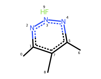 Cc1nnnc(C)c1C.F